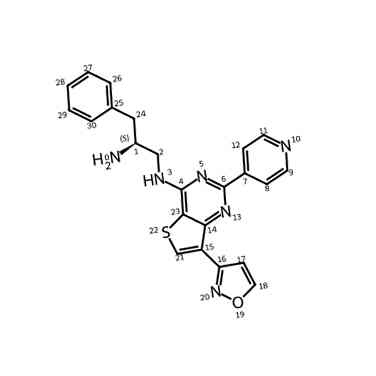 N[C@H](CNc1nc(-c2ccncc2)nc2c(-c3ccon3)csc12)Cc1ccccc1